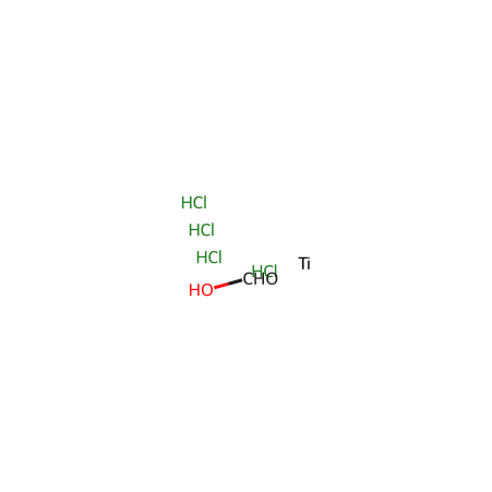 Cl.Cl.Cl.Cl.O=CO.[Ti]